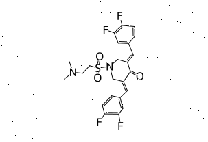 CN(C)CCS(=O)(=O)N1C/C(=C\c2ccc(F)c(F)c2)C(=O)/C(=C/c2ccc(F)c(F)c2)C1